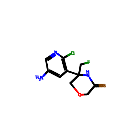 Nc1cnc(Cl)c(C2(CF)COCC(=S)N2)c1